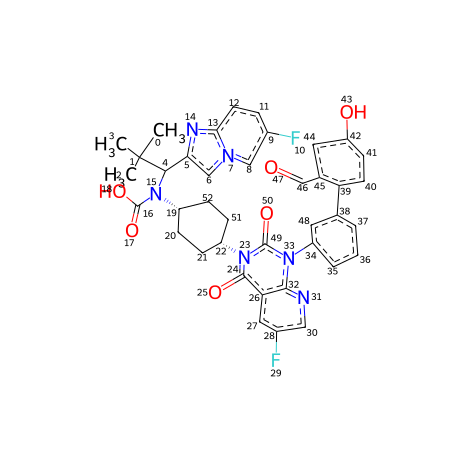 CC(C)(C)C(c1cn2cc(F)ccc2n1)N(C(=O)O)[C@H]1CC[C@@H](n2c(=O)c3cc(F)cnc3n(-c3cccc(-c4ccc(O)cc4C=O)c3)c2=O)CC1